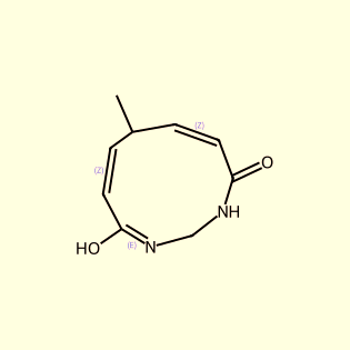 CC1/C=C\C(=O)NC/N=C(O)\C=C/1